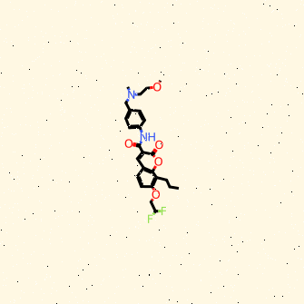 CCCc1c(OCC(F)F)ccc2cc(C(=O)Nc3ccc(CN(C)CCOC)cc3)c(=O)oc12